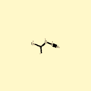 CCC(C)O[P]#N